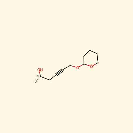 C[C@H](O)CC#CCOC1CCCCO1